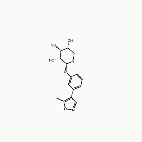 Cc1oncc1-c1cncc(O[C@@H]2SC[C@@H](O)[C@H](O)[C@H]2O)c1